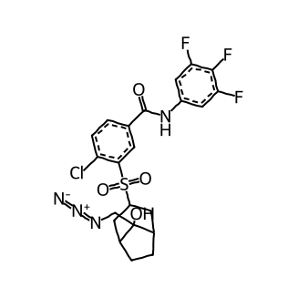 [N-]=[N+]=NCC1(O)C2CCC1CC(S(=O)(=O)c1cc(C(=O)Nc3cc(F)c(F)c(F)c3)ccc1Cl)C2